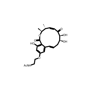 CC(=O)NCCOc1cc(O)c2c(c1)/C=C/C[C@H](O)[C@H](O)C(=O)/C=C\[C@@H](C)[C@H](C)OC2=O